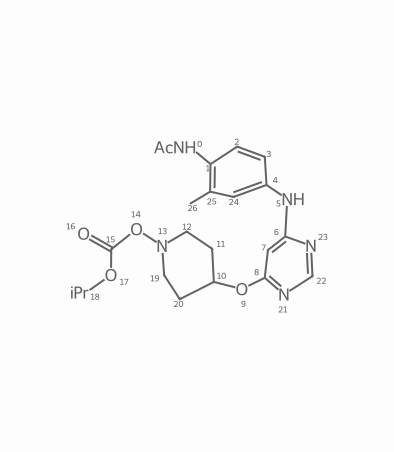 CC(=O)Nc1ccc(Nc2cc(OC3CCN(OC(=O)OC(C)C)CC3)ncn2)cc1C